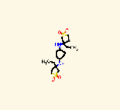 CCC1(NC2CCC(NC3(CC)CCS(=O)(=O)C3)CC2)CCS(=O)(=O)C1